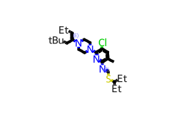 CC/C=C(\CC(C)(C)C)N1CCN(c2nc(/N=C/SC(CC)CC)c(C)cc2Cl)CC1